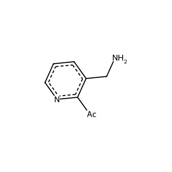 CC(=O)c1ncccc1CN